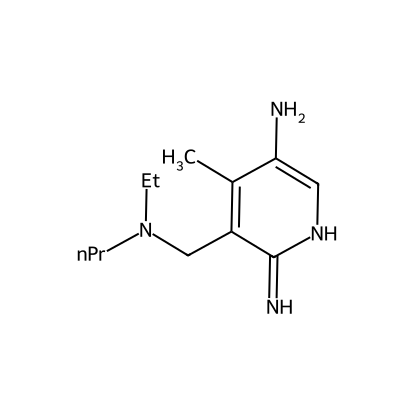 CCCN(CC)Cc1c(C)c(N)c[nH]c1=N